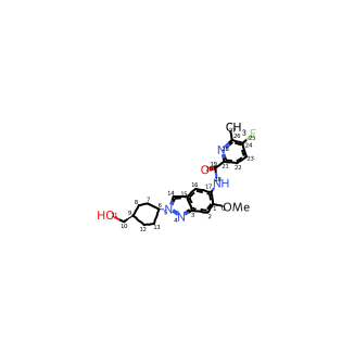 COc1cc2nn([C@H]3CC[C@H](CO)CC3)cc2cc1NC(=O)c1ccc(F)c(C)n1